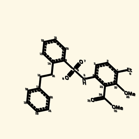 CCc1ccc(NS(=O)(=O)c2ccccc2CCc2ccccc2)c(C(=O)OC)c1OC